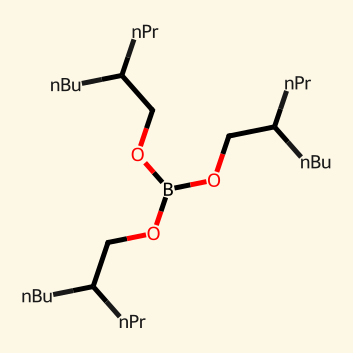 CCCCC(CCC)COB(OCC(CCC)CCCC)OCC(CCC)CCCC